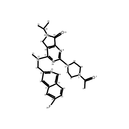 CC(=O)N1CCN(c2nc3c(c(N(C)Cc4cc5cc(F)ccc5cn4)n2)CN(C(C)C)C3=O)CC1